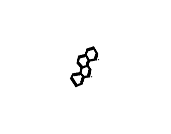 [c]1cc2c3[c]cccc3ccc2c2ccccc12